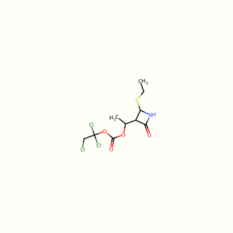 CCSC1NC(=O)C1C(C)OC(=O)OC(Cl)(Cl)CCl